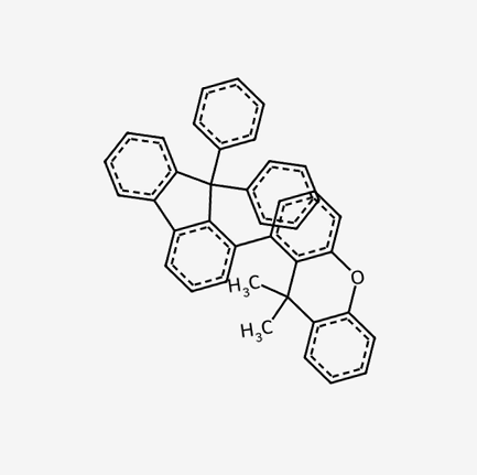 CC1(C)c2ccccc2Oc2cccc(-c3cccc4c3C(c3ccccc3)(c3ccccc3)c3ccccc3-4)c21